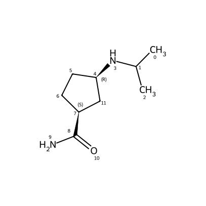 CC(C)N[C@@H]1CC[C@H](C(N)=O)C1